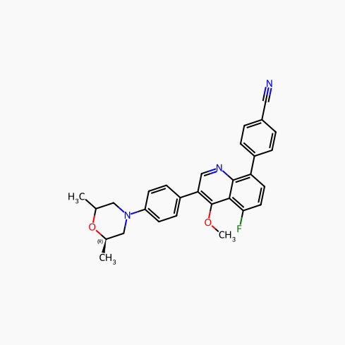 COc1c(-c2ccc(N3CC(C)O[C@H](C)C3)cc2)cnc2c(-c3ccc(C#N)cc3)ccc(F)c12